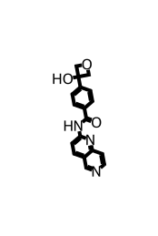 O=C(Nc1ccc2cnccc2n1)c1ccc(C2(O)COC2)cc1